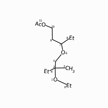 CCOC(C)(CC)COC(CC)CCOC(C)=O